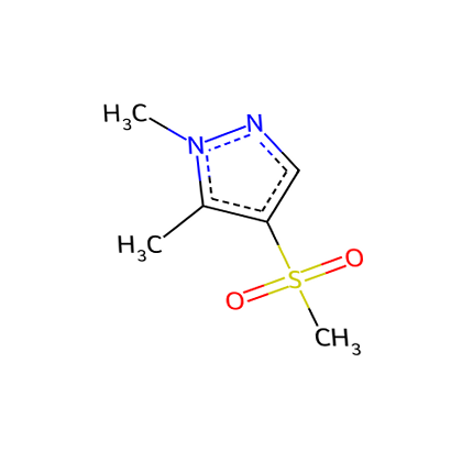 Cc1c(S(C)(=O)=O)cnn1C